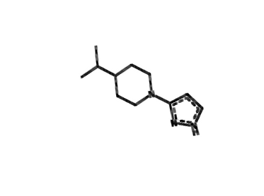 CC(C)C1CCN(c2cc[nH]n2)CC1